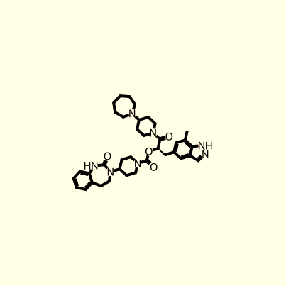 Cc1cc(C[C@@H](OC(=O)N2CCC(N3CCc4ccccc4NC3=O)CC2)C(=O)N2CCC(N3CCCCCC3)CC2)cc2cn[nH]c12